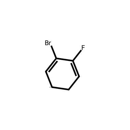 FC1=CC[CH]C=C1Br